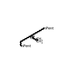 CCCCC/C=C\C/C=C\CCCCCCCCC(CCCCCCCC/C=C/C/C=C/CCCCC)OC(=O)CCCN(C)C